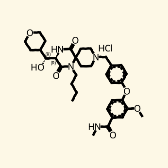 CCCCN1C(=O)[C@@H]([C@H](O)C2CCOCC2)NC(=O)C12CCN(Cc1ccc(Oc3ccc(C(=O)NC)cc3OC)cc1)CC2.Cl